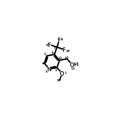 COc1nccc(C(F)(F)F)c1CO